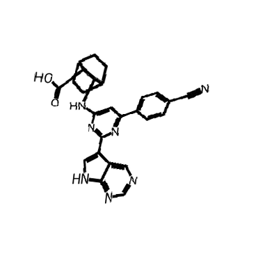 N#Cc1ccc(-c2cc(NC3C4CCC(CC4)C3C(=O)O)nc(-c3c[nH]c4ncncc34)n2)cc1